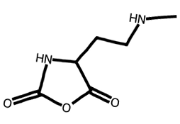 CNCCC1NC(=O)OC1=O